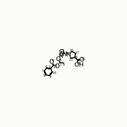 CC(OC(=O)c1ccccc1)On1on1N1CCC(C(=O)O)C1